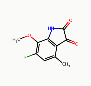 COc1c(F)cc(C)c2c1NC(=O)C2=O